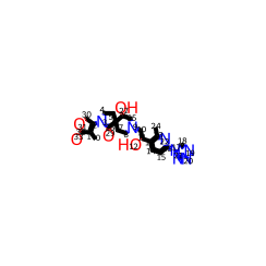 CC1=C(N2CCC3(CCN(CC(O)c4ccc(-n5cnnn5)nc4C)CC3O)C2=O)COC1=O